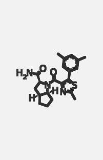 Cc1cc(C)cc(-c2sc(C)nc2C(=O)N2[C@H](C(N)=O)C[C@@H]3CCC[C@@H]32)c1